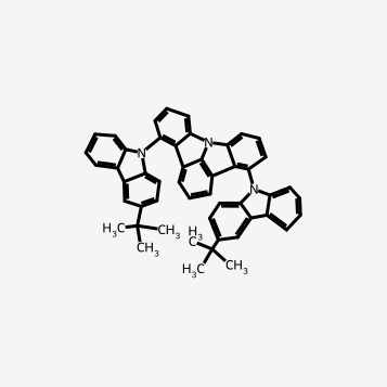 CC(C)(C)c1ccc2c(c1)c1ccccc1n2-c1cccc2c1c1cccc3c4c(-n5c6ccccc6c6cc(C(C)(C)C)ccc65)cccc4n2c13